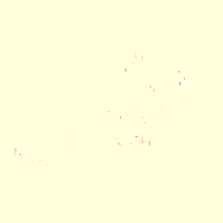 Cc1cnccc1-c1ccc([C@H](CO)NC(=O)[C@@H]2C[C@@H](O)CN2C(=O)[C@@H](N)C(C)C)cc1